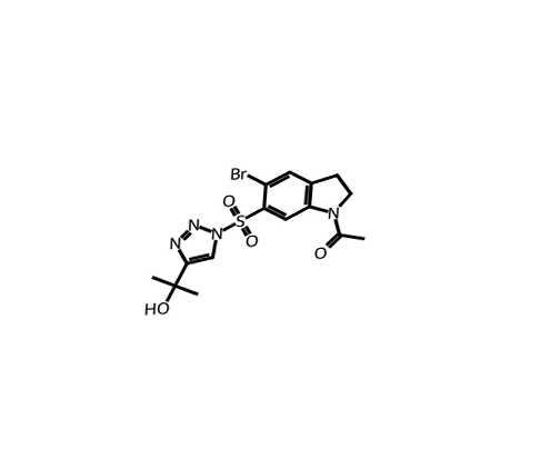 CC(=O)N1CCc2cc(Br)c(S(=O)(=O)n3cc(C(C)(C)O)nn3)cc21